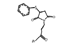 CC(C)C(=O)CCN1C(=O)CC(Sc2ccccc2)C1=O